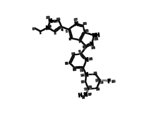 CCn1cc(-c2cc3c(-c4cccc(N5C[C@@H](N)C[C@@H](F)C5)n4)n[nH]c3cn2)cn1